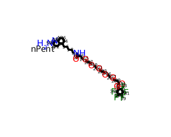 CCCCCc1cc2c(CCCCCNC(=O)CCOCCOCCOCCOCCOCCC(=O)Oc3c(F)c(F)c(F)c(F)c3F)cccc2nc1N